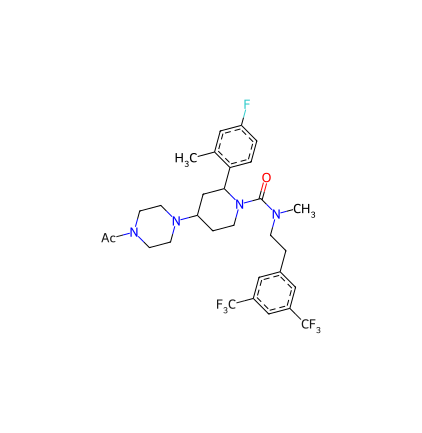 CC(=O)N1CCN(C2CCN(C(=O)N(C)CCc3cc(C(F)(F)F)cc(C(F)(F)F)c3)C(c3ccc(F)cc3C)C2)CC1